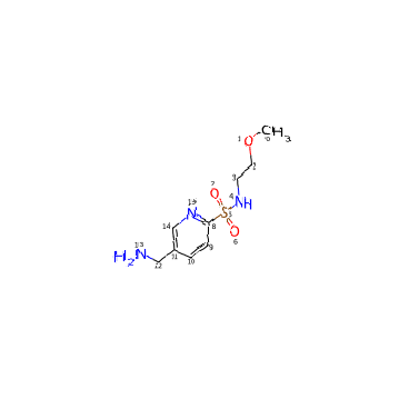 COCCNS(=O)(=O)c1ccc(CN)cn1